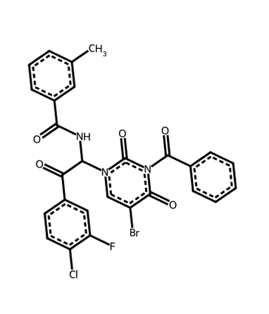 Cc1cccc(C(=O)NC(C(=O)c2ccc(Cl)c(F)c2)n2cc(Br)c(=O)n(C(=O)c3ccccc3)c2=O)c1